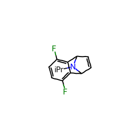 CC(C)N1C2C=CC1c1c(F)ccc(F)c12